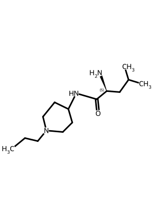 CCCN1CCC(NC(=O)[C@@H](N)CC(C)C)CC1